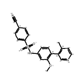 COc1cc(NS(=O)(=O)c2ccc(C#N)cc2)ccc1-c1cnccc1C